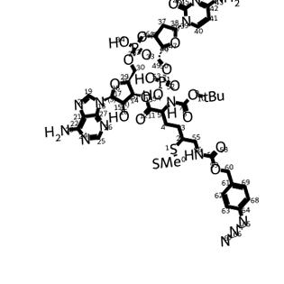 CSSC(CCC(NC(=O)OC(C)(C)C)C(=O)O[C@H]1[C@@H](O)[C@@H](n2cnc3c(N)ncnc32)O[C@H]1COP(=O)(O)O[C@H]1C[C@H](n2ccc(N)nc2=O)O[C@@H]1COP(=O)(O)O)CNC(=O)OCc1ccc(N=[N+]=[N-])cc1